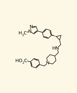 Cn1cc(-c2ccc([C@H]3CC3CNCC3CCN(Cc4ccc(C(=O)O)cc4)CC3)cc2)cn1